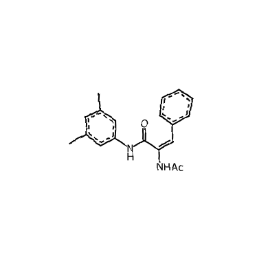 CC(=O)N/C(=C/c1ccccc1)C(=O)Nc1cc(C)cc(C)c1